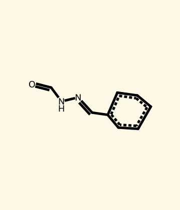 O=CN/N=C/c1ccccc1